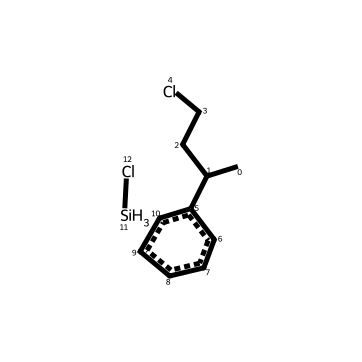 CC(CCCl)c1ccccc1.[SiH3]Cl